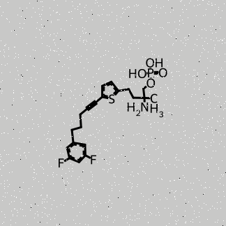 CC(N)(CCc1ccc(C#CCCCc2cc(F)cc(F)c2)s1)COP(=O)(O)O